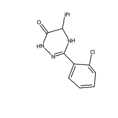 CC(C)C1NC(c2ccccc2Cl)=NNC1=O